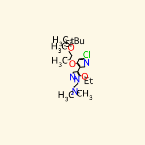 CCOc1c(-c2cnc(Cl)cc2O[C@@H](C)CCO[Si](C)(C)C(C)(C)C)cnn1CCN(C)C